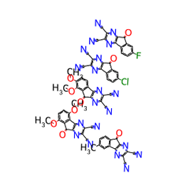 COc1ccc(OC)c2c1C(=O)c1nc(C#N)c(C#N)nc1-2.COc1ccc2c(c1OC)C(=O)c1nc(C#N)c(C#N)nc1-2.Cc1ccc2c(c1)-c1nc(C#N)c(C#N)nc1C2=O.N#Cc1nc2c(nc1C#N)-c1ccc(Cl)cc1C2=O.N#Cc1nc2c(nc1C#N)-c1ccc(F)cc1C2=O